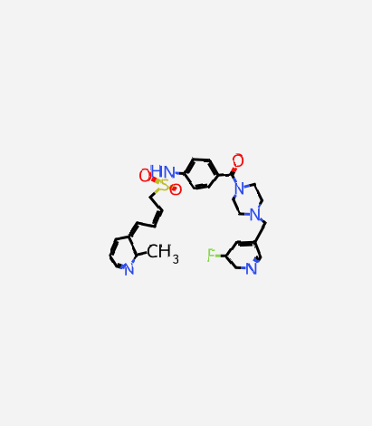 CC1N=CC=C/C1=C/C=C\CS(=O)(=O)Nc1ccc(C(=O)N2CCN(CC3=CC(F)CN=C3)CC2)cc1